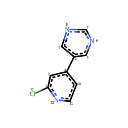 Clc1cc(-c2cncnc2)ccn1